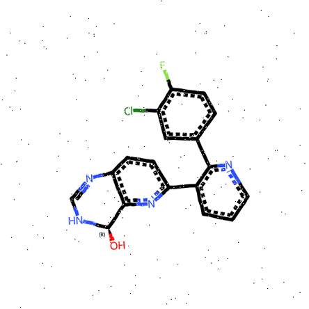 O[C@H]1NC=Nc2ccc(-c3cccnc3-c3ccc(F)c(Cl)c3)nc21